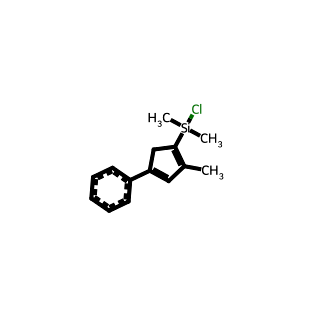 CC1=C([Si](C)(C)Cl)CC(c2ccccc2)=C1